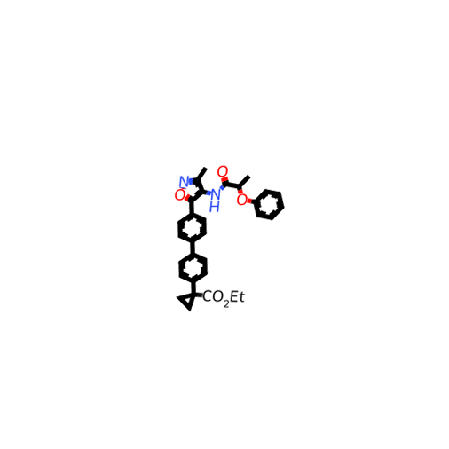 CCOC(=O)C1(c2ccc(-c3ccc(-c4onc(C)c4NC(=O)C(C)Oc4ccccc4)cc3)cc2)CC1